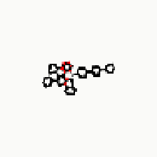 c1ccc(-c2ccc(-c3ccc(N(c4ccc5ccccc5c4)c4ccccc4-c4cccc(-c5ccccc5)c4-c4ccccc4-c4ccccc4)cc3)cc2)cc1